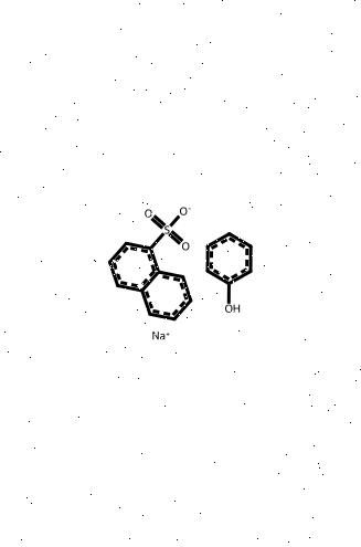 O=S(=O)([O-])c1cccc2ccccc12.Oc1ccccc1.[Na+]